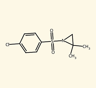 CC1(C)CN1S(=O)(=O)c1ccc(Cl)cc1